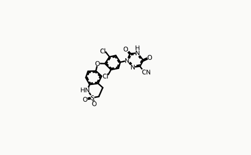 N#Cc1nn(-c2cc(Cl)c(Oc3ccc4c(c3)CCS(=O)(=O)N4)c(Cl)c2)c(=O)[nH]c1=O